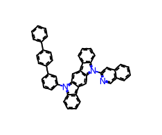 c1ccc(-c2ccc(-c3cccc(-n4c5ccccc5c5cc6c(cc54)c4ccccc4n6-c4cc5ccccc5cn4)c3)cc2)cc1